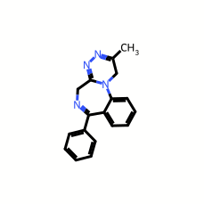 CC1=NN=C2CN=C(c3ccccc3)c3ccccc3N2C1